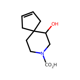 O=C(O)N1CCC2(CC=CC2)C(O)C1